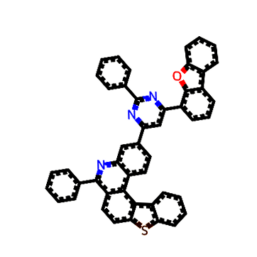 c1ccc(-c2nc(-c3ccc4c(c3)nc(-c3ccccc3)c3ccc5sc6ccccc6c5c34)cc(-c3cccc4c3oc3ccccc34)n2)cc1